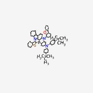 CC(C)(C)c1ccc(N(c2ccc(C(C)(C)C)cc2)c2ccc3c(c2)N(c2cccc4c2oc2ccccc24)c2ccc4c5ccccc5n5c4c2B3c2sc3ccccc3c2-5)cc1